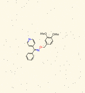 COc1ccc(CON=C(c2ccccc2)c2ccncc2)cc1OC